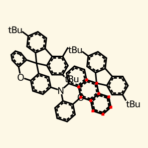 Cc1cc(C(C)(C)C)cc2c1-c1ccc(C(C)(C)C)cc1C21c2ccccc2Oc2ccc(N(c3ccccc3-c3cccc4ccccc34)c3cccc4c3Oc3ccccc3C43c4cc(C(C)(C)C)ccc4-c4ccc(C(C)(C)C)cc43)cc21